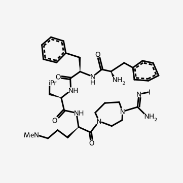 CNCCC[C@@H](NC(=O)[C@@H](CC(C)C)NC(=O)[C@@H](Cc1ccccc1)NC(=O)[C@H](N)Cc1ccccc1)C(=O)N1CCCN(C(N)=NI)CC1